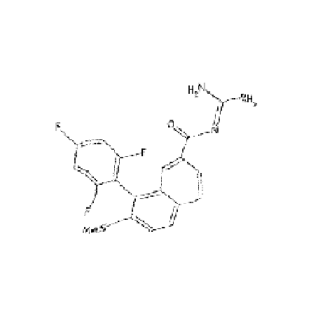 CSc1ccc2ccc(C(=O)N=C(N)N)cc2c1-c1c(F)cc(F)cc1F